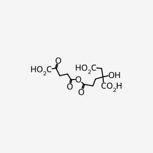 O=C(O)CC(O)(CCC(=O)OC(=O)CCC(=O)C(=O)O)C(=O)O